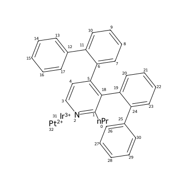 CCCc1nccc(-c2ccccc2-c2ccccc2)c1-c1ccccc1-c1ccccc1.[Ir+3].[Pt+2]